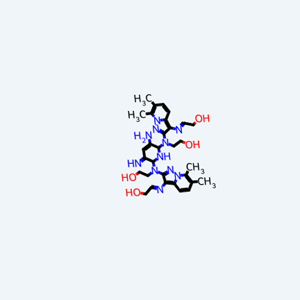 Cc1ccc2c(N=CCO)c(N(CCO)C3NC(N(CCO)c4nn5c(C)c(C)ccc5c4N=CCO)C(N)=CC3=N)nn2c1C